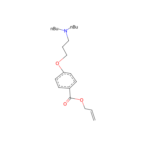 C=CCOC(=O)c1ccc(OCCCN(CCCC)CCCC)cc1